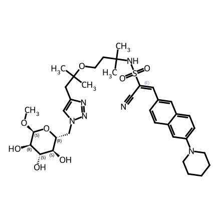 CO[C@H]1O[C@H](Cn2cc(CC(C)(C)OCCC(C)(C)NS(=O)(=O)/C(C#N)=C/c3ccc4cc(N5CCCCC5)ccc4c3)nn2)[C@@H](O)[C@H](O)[C@H]1O